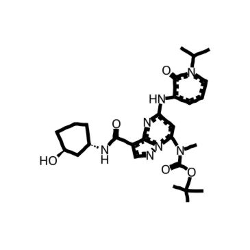 CC(C)n1cccc(Nc2cc(N(C)C(=O)OC(C)(C)C)n3ncc(C(=O)N[C@H]4CCC[C@H](O)C4)c3n2)c1=O